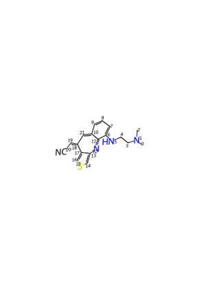 CN(C)CCNc1cccc2c1=Nc1cscc1/C(=C\C#N)C=2